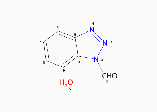 O.O=Cn1nnc2ccccc21